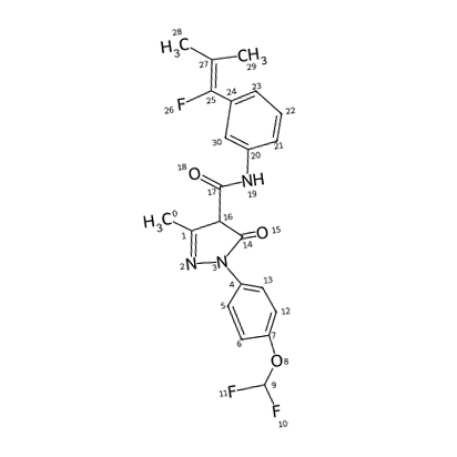 CC1=NN(c2ccc(OC(F)F)cc2)C(=O)C1C(=O)Nc1cccc(C(F)=C(C)C)c1